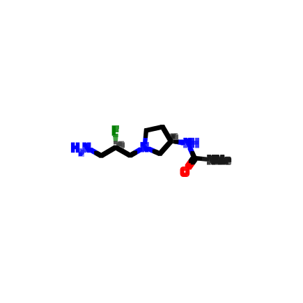 CNC(=O)N[C@@H]1CCN(C[C@@H](F)CN)C1